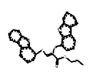 CCCOC(=O)C(=CSc1cccc2c1sc1ccccc12)Sc1cccc2c1sc1ccccc12